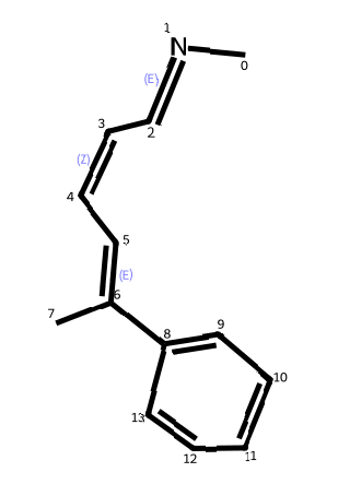 C/N=C/C=C\C=C(/C)c1ccccc1